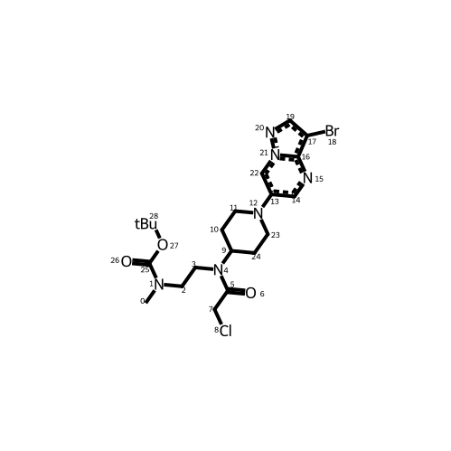 CN(CCN(C(=O)CCl)C1CCN(c2cnc3c(Br)cnn3c2)CC1)C(=O)OC(C)(C)C